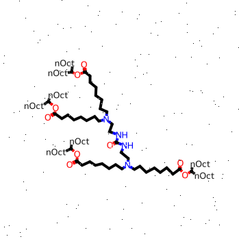 CCCCCCCCC(CCCCCCCC)OC(=O)CCCCCCCN(CCCCCCCC(=O)OC(CCCCCCCC)CCCCCCCC)CCNC(=O)NCCN(CCCCCCCC(=O)OC(CCCCCCCC)CCCCCCCC)CCCCCCCC(=O)OC(CCCCCCCC)CCCCCCCC